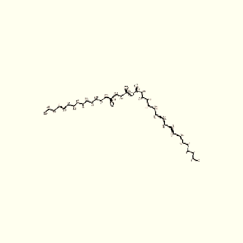 CCCCCCCCCCCCCCCCCC(=O)OC(=O)CCC(=O)CCCCCCCCCCCCCC